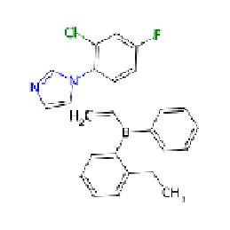 C=CB(c1ccccc1)c1ccccc1CC.Fc1ccc(-n2ccnc2)c(Cl)c1